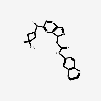 CN(c1cnc2cnn(CC(=O)Nc3ccc4c(c3)N=C=C=N4)c2n1)C1CC(C)(C)C1